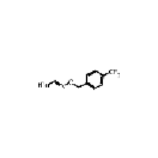 CC(C)(C)C=NOCc1ccc(C(F)(F)F)cc1